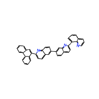 c1cnc2c(-c3ccc4ccc(-c5ccc6nc(-c7cc8ccccc8c8ccccc78)ccc6c5)cc4n3)cccc2c1